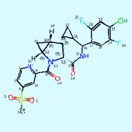 CCS(=O)(=O)c1ccnc(C(=O)N2[C@@H](C(=O)NC(c3cc(F)c(Cl)cc3F)C3CC3)C[C@H]3C[C@H]32)c1